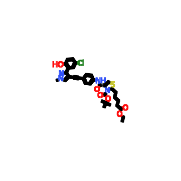 CCOC(=O)CCCCC1SC[C@@H](C(=O)Nc2ccc(C#Cc3cn(C)nc3-c3cc(Cl)ccc3O)cc2)N1C(=O)OC(C)(C)C